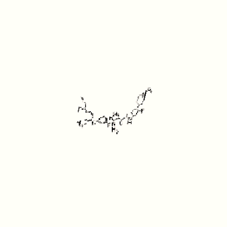 CC(/C=C\C=C(\F)CF)Oc1ccc(-n2ncc(C(=O)C3=CC4C=C(C5CCN(C(C)C)CC5)C(F)=CC4N3)c2N)c(F)c1